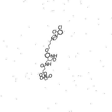 O=C(CCC(=O)ON1C(=O)CCC1=O)NCC1CC(=O)Nc2cc(OCCCCN3CCN(c4cccc(Cl)c4Cl)CC3)ccc21